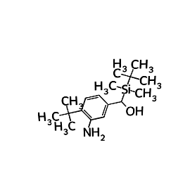 CC(C)(C)c1ccc(C(O)[Si](C)(C)C(C)(C)C)cc1N